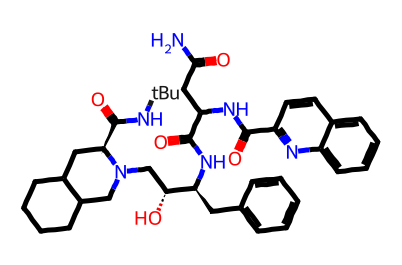 CC(C)(C)NC(=O)[C@@H]1CC2CCCCC2CN1C[C@@H](O)[C@H](Cc1ccccc1)NC(=O)C(CC(N)=O)NC(=O)c1ccc2ccccc2n1